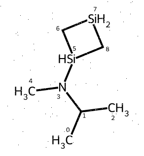 CC(C)N(C)[SiH]1C[SiH2]C1